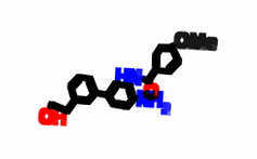 COc1ccc(C(=O)Nc2cc(-c3cccc(CCO)c3)ccc2N)cc1